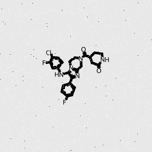 O=C1CC(C(=O)N2CCn3c(nc(-c4ccc(F)cc4)c3Nc3ccc(Cl)c(F)c3)C2)CCN1